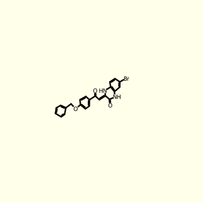 O=C1Nc2cc(Br)ccc2NC1=CC(=O)c1ccc(OCc2ccccc2)cc1